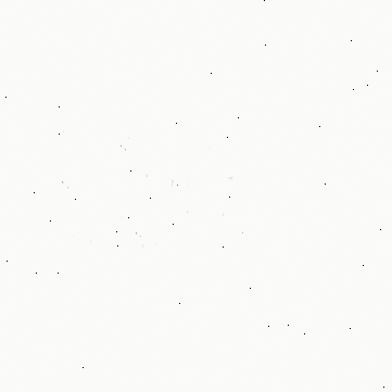 COc1ccc(CNc2nc(Cl)nc(C(=O)O)c2N)c(OC)c1